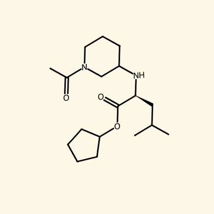 CC(=O)N1CCCC(N[C@@H](CC(C)C)C(=O)OC2CCCC2)C1